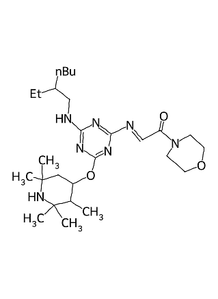 CCCCC(CC)CNc1nc(N=CC(=O)N2CCOCC2)nc(OC2CC(C)(C)NC(C)(C)C2C)n1